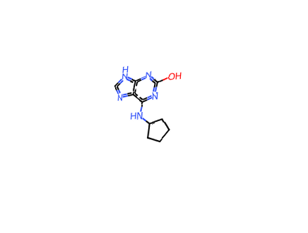 Oc1nc(NC2CCCC2)c2nc[nH]c2n1